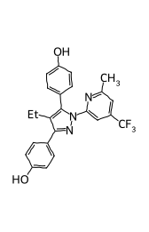 CCc1c(-c2ccc(O)cc2)nn(-c2cc(C(F)(F)F)cc(C)n2)c1-c1ccc(O)cc1